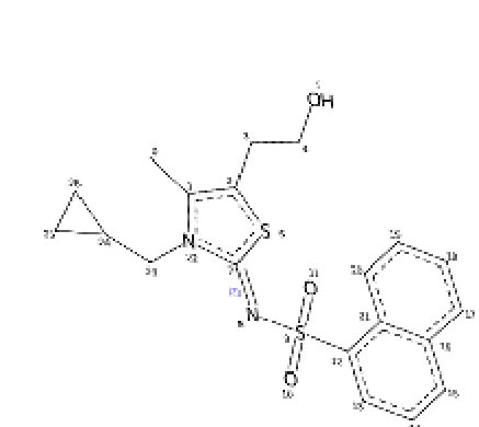 Cc1c(CCO)s/c(=N\S(=O)(=O)c2cccc3ccccc23)n1CC1CC1